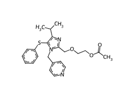 CC(=O)OCCOCc1nc(C(C)C)c(Sc2ccccc2)n1Cc1ccncc1